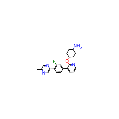 Cc1cnc(-c2ccc(-c3cccnc3O[C@H]3CC[C@H](N)CC3)cc2F)cn1